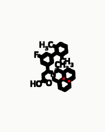 Cc1cccc(C)c1-c1cc(F)cc(C(CC(=O)O)N(Cc2ccccc2)[C@H](C)c2ccccc2)c1